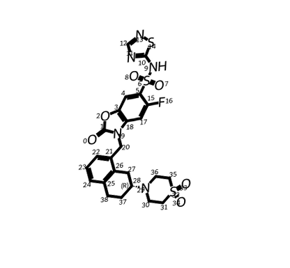 O=c1oc2cc(S(=O)(=O)Nc3ncns3)c(F)cc2n1Cc1cccc2c1C[C@H](N1CCS(=O)(=O)CC1)CC2